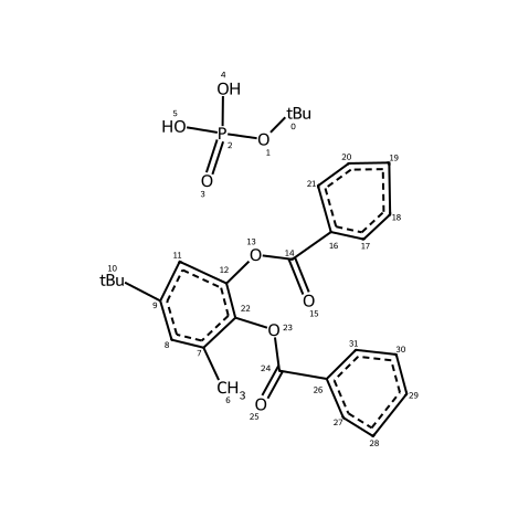 CC(C)(C)OP(=O)(O)O.Cc1cc(C(C)(C)C)cc(OC(=O)c2ccccc2)c1OC(=O)c1ccccc1